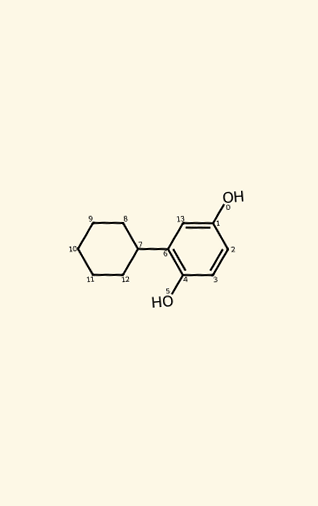 Oc1ccc(O)c(C2CCCCC2)c1